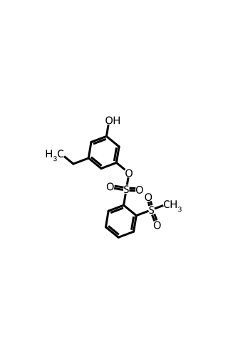 CCc1cc(O)cc(OS(=O)(=O)c2ccccc2S(C)(=O)=O)c1